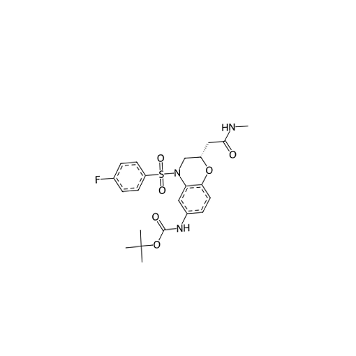 CNC(=O)C[C@H]1CN(S(=O)(=O)c2ccc(F)cc2)c2cc(NC(=O)OC(C)(C)C)ccc2O1